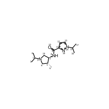 CC(C)N1C[C@@H](C)[C@H](NC(=O)c2ccn(C(C)C)n2)C1